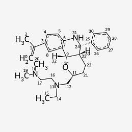 C=C(C)c1ccc2c(c1)[C@H]1O[C@H](CN(CC)CCN(C)C)CC[C@H]1[C@@H](c1ccccc1)N2